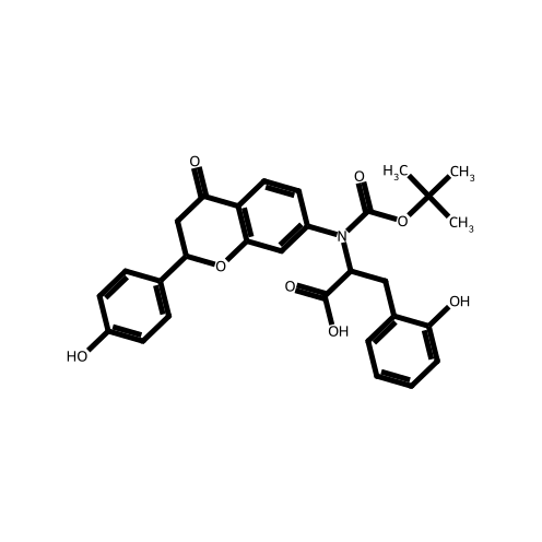 CC(C)(C)OC(=O)N(c1ccc2c(c1)OC(c1ccc(O)cc1)CC2=O)C(Cc1ccccc1O)C(=O)O